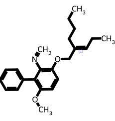 C=Nc1c(OC/C(=C/CC)CCCC)ccc(OC)c1-c1ccccc1